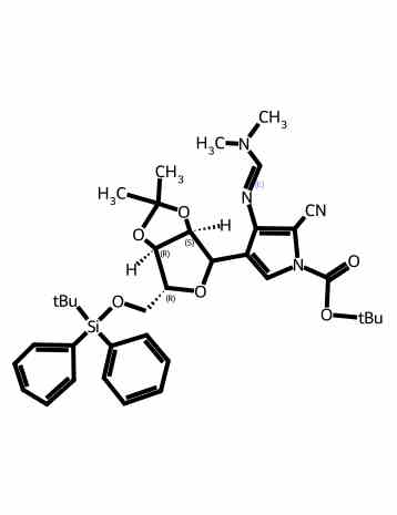 CN(C)/C=N/c1c(C2O[C@H](CO[Si](c3ccccc3)(c3ccccc3)C(C)(C)C)[C@H]3OC(C)(C)O[C@@H]23)cn(C(=O)OC(C)(C)C)c1C#N